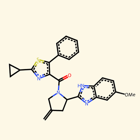 C=C1CC(c2nc3cc(OC)ccc3[nH]2)N(C(=O)c2nc(C3CC3)sc2-c2ccccc2)C1